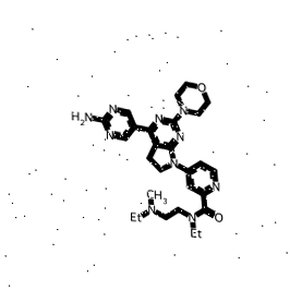 CCN(C)CCN(CC)C(=O)c1cc(N2CCc3c(-c4cnc(N)nc4)nc(N4CCOCC4)nc32)ccn1